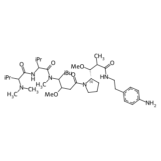 CCC(C)C(C(CC(=O)N1CCC[C@H]1C(OC)C(C)C(=O)NCCc1ccc(N)cc1)OC)N(C)C(=O)C(NC(=O)C(C(C)C)N(C)C)C(C)C